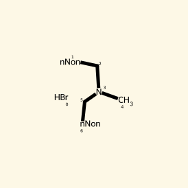 Br.CCCCCCCCCCN(C)CCCCCCCCCC